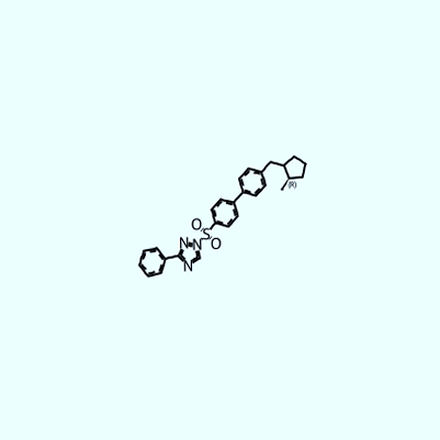 C[C@@H]1CCCC1Cc1ccc(-c2ccc(S(=O)(=O)n3cnc(-c4ccccc4)n3)cc2)cc1